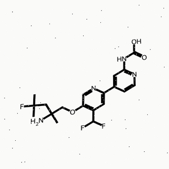 CC(C)(F)CC(C)(N)COc1cnc(-c2ccnc(NC(=O)O)c2)cc1C(F)F